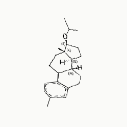 Cc1ccc2c(c1)CC[C@@H]1C2CC[C@]2(C)[C@@H](OC(C)C)CC[C@@H]12